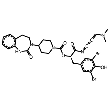 CN(C)C=C=C=NC(=O)[C@@H](Cc1cc(Br)c(O)c(Br)c1)OC(=O)N1CCC(N2CCc3ccccc3NC2=O)CC1